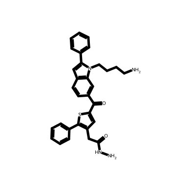 NCCCCn1c(-c2ccccc2)cc2ccc(C(=O)c3cc(CC(=O)NN)c(-c4ccccc4)s3)cc21